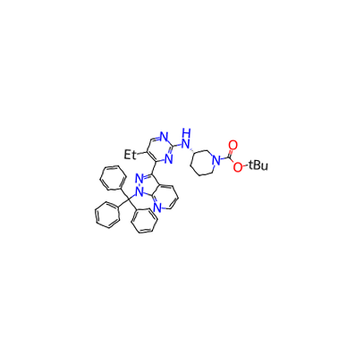 CCc1cnc(N[C@H]2CCCN(C(=O)OC(C)(C)C)C2)nc1-c1nn(C(c2ccccc2)(c2ccccc2)c2ccccc2)c2ncccc12